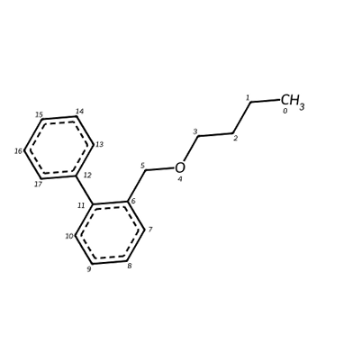 CCCCOCc1ccccc1-c1ccccc1